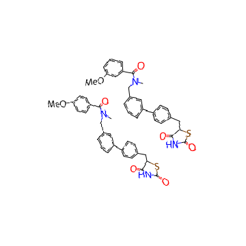 COc1ccc(C(=O)N(C)Cc2cccc(-c3ccc(CC4SC(=O)NC4=O)cc3)c2)cc1.COc1cccc(C(=O)N(C)Cc2cccc(-c3ccc(CC4SC(=O)NC4=O)cc3)c2)c1